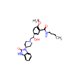 CCCCNC(=O)c1cc(C(O)CN2CCC(n3c(=O)[nH]c4ccccc43)CC2)ccc1OC